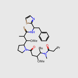 CCC(C)C(C(CC(=O)N1CCCC1C(OC)C(C)C(=S)NC(Cc1ccccc1)c1nccs1)OC)N(C)C(=O)CC(C)C